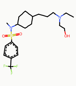 CCN(CCO)CCCC1CCC(N(C)S(=O)(=O)c2ccc(C(F)(F)F)cc2)CC1